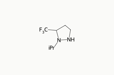 CC(C)N1NCCC1C(F)(F)F